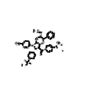 COC(=O)[C@H](OC1=C(C(=O)c2ccc(C(C)C)cc2)[C@H](c2ccc(C(C)(F)F)cc2)N(c2ccc(C)nn2)C1=O)c1ccccc1